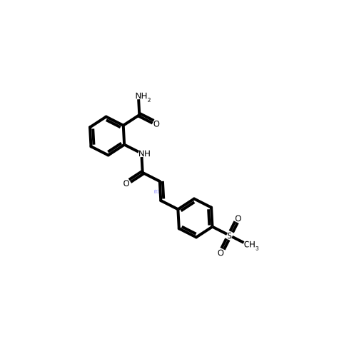 CS(=O)(=O)c1ccc(/C=C/C(=O)Nc2ccccc2C(N)=O)cc1